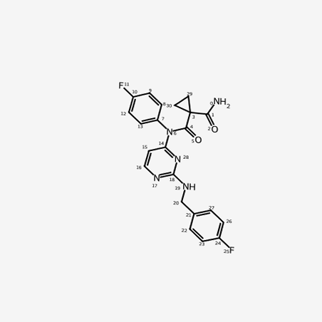 NC(=O)C1(C(=O)N(c2ccc(F)cc2)c2ccnc(NCc3ccc(F)cc3)n2)CC1